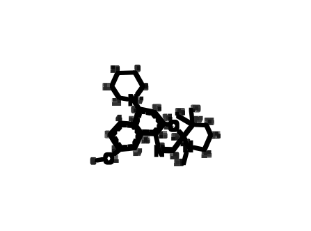 COc1ccc2c(N3CCCCC3)cc3c(c2c1)N=CC1(O3)N(C)CCCC1(C)C